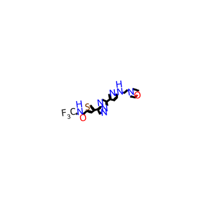 O=C(NCC(F)(F)F)c1cc(-c2cnn3cc(-c4ccc(NCCN5CCOCC5)nc4)cnc23)cs1